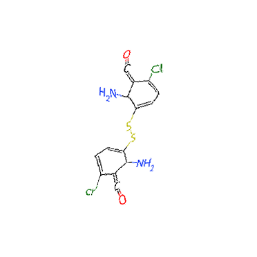 NC1C(=C=O)C(Cl)=CC=C1SSC1=CC=C(Cl)C(=C=O)C1N